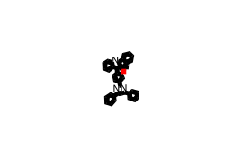 CC1(C)c2ccccc2C2=Nc3ccccc3C(c3ccc(-c4nc(-c5ccccc5)cc(-c5ccccc5)n4)cc3)C21C